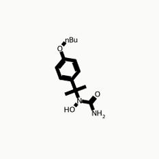 CCCCOc1ccc(C(C)(C)N(O)C(N)=O)cc1